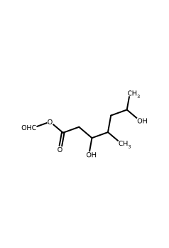 CC(O)CC(C)C(O)CC(=O)OC=O